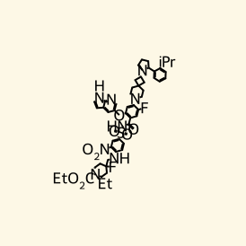 CCOC(=O)N1CCC(F)(CNc2ccc(S(=O)(=O)NC(=O)c3cc(F)c(N4CCC5(CC4)CC(N4CCCC4c4ccccc4C(C)C)C5)cc3Oc3cnc4[nH]ccc4c3)cc2[N+](=O)[O-])CC1CC